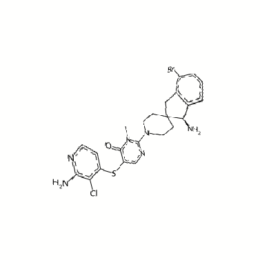 Cn1c(N2CCC3(CC2)Cc2c(Br)cccc2[C@H]3N)ncc(Sc2ccnc(N)c2Cl)c1=O